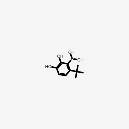 CC(C)(C)c1ccc(O)c(O)c1B(O)O